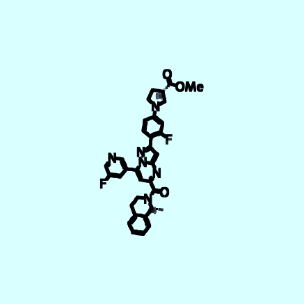 COC(=O)[C@H]1CCN(c2ccc(-c3cc4nc(C(=O)N5CCc6ccccc6[C@H]5C)cc(-c5cncc(F)c5)n4n3)c(F)c2)C1